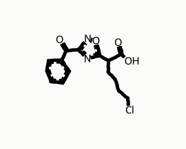 O=C(c1ccccc1)c1noc(C(CCCCCl)C(=O)O)n1